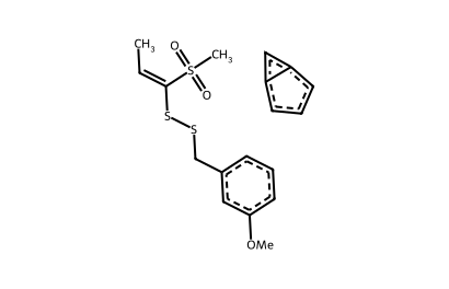 CC=C(SSCc1cccc(OC)c1)S(C)(=O)=O.c1cc2cc-2c1